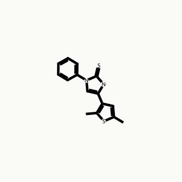 Cc1cc(C2=CN(c3ccccc3)C(=S)[N]2)c(C)s1